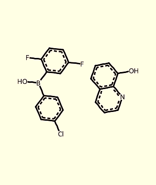 OB(c1ccc(Cl)cc1)c1cc(F)ccc1F.Oc1cccc2cccnc12